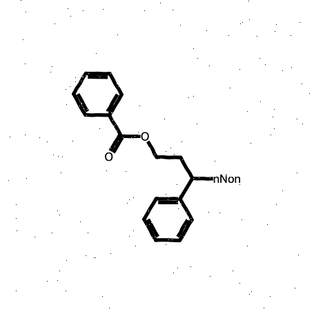 CCCCCCCCCC(CCOC(=O)c1ccccc1)c1ccccc1